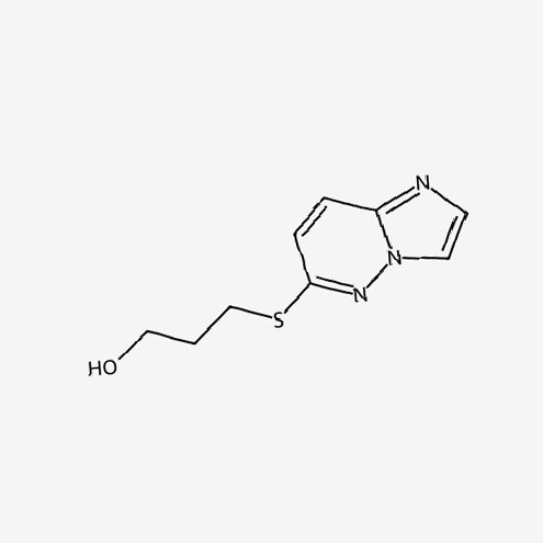 OCCCSc1ccc2nccn2n1